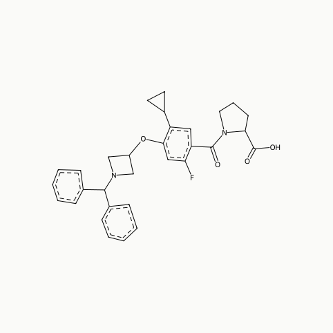 O=C(O)C1CCCN1C(=O)c1cc(C2CC2)c(OC2CN(C(c3ccccc3)c3ccccc3)C2)cc1F